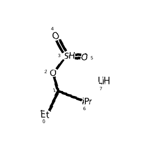 CCC(O[SH](=O)=O)C(C)C.[LiH]